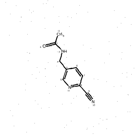 CC(=O)NCc1ccc(C#N)nc1